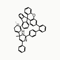 C[C@@H]1C=CC(C2(C)C=C(c3ccccc3)N=C(c3ccc(-c4ccccc4-c4ccc5c(c4)Oc4ccccc4C54c5ccccc5-c5ccccc54)cc3)N2)=CC1